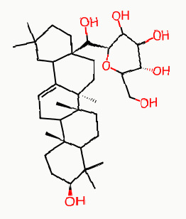 CC1(C)CC[C@]2(C(O)[C@@H]3OC(CO)[C@@H](O)C(O)C3O)CC[C@]3(C)C(=CCC4[C@@]5(C)CC[C@H](O)C(C)(C)C5CC[C@]43C)C2C1